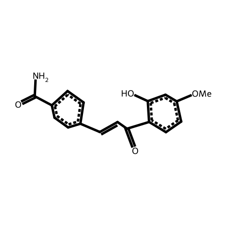 COc1ccc(C(=O)/C=C/c2ccc(C(N)=O)cc2)c(O)c1